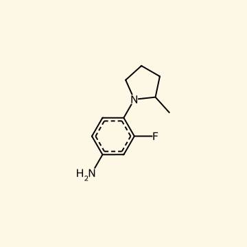 CC1CCCN1c1ccc(N)cc1F